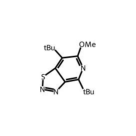 COc1nc(C(C)(C)C)c2nnsc2c1C(C)(C)C